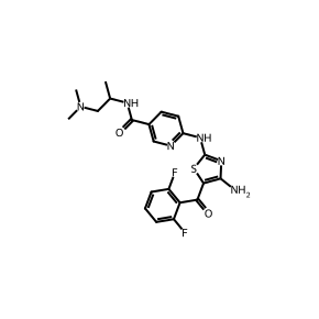 CC(CN(C)C)NC(=O)c1ccc(Nc2nc(N)c(C(=O)c3c(F)cccc3F)s2)nc1